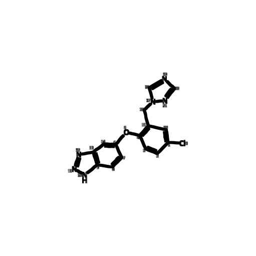 Clc1ccc(Oc2ccc3[nH]nnc3c2)c(Cn2cncn2)c1